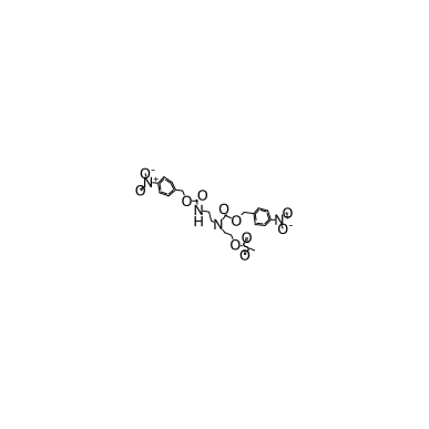 CS(=O)(=O)OCCN(CCNC(=O)OCc1ccc([N+](=O)[O-])cc1)C(=O)OCc1ccc([N+](=O)[O-])cc1